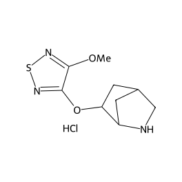 COc1nsnc1OC1CC2CNC1C2.Cl